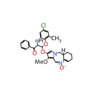 CCCC(C(=O)c1ccccc1)C(Oc1ccc(Cl)cc1C)Oc1cn2c(c1OC)C=[N+]([O-])C1=CCCC[C@H]1C2